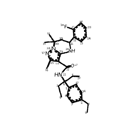 CCc1ccc(C(CC)(CC)NC(=O)c2c(C)nn3c2NC(c2ccccc2F)CC3(C)C)cc1